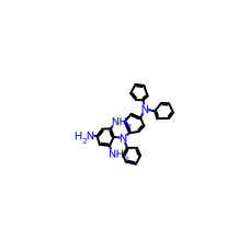 Nc1cc(N)c(N(c2ccccc2)c2ccc(N(c3ccccc3)c3ccccc3)cc2)c(N)c1